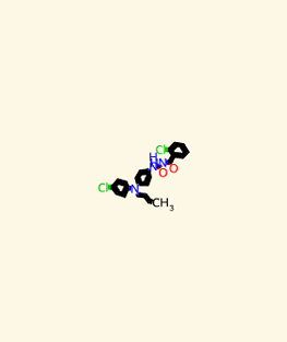 CCCCN(c1ccc(Cl)cc1)c1ccc(NC(=O)NC(=O)c2ccccc2Cl)cc1